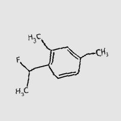 Cc1ccc(C(C)F)c(C)c1